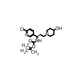 CC(C)(C)OC(=O)N[C@H](CCN1CCC(O)CC1)c1ccc(Cl)nc1